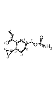 C=CC(=O)c1nc(COC(N)=O)ccc1C1CC1